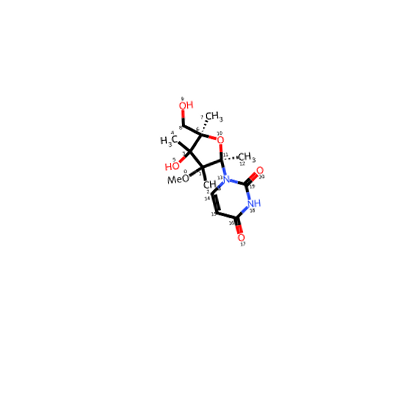 COC1(C)C(C)(O)[C@@](C)(CO)O[C@@]1(C)n1ccc(=O)[nH]c1=O